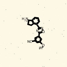 CC(C)Oc1cc(C#N)cc(-c2nc(-c3cccc4c3CC[C@H]4N)no2)c1